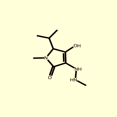 CNNC1=C(O)C(C(C)C)N(C)C1=O